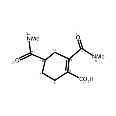 CNC(=O)C1=C(C(=O)O)CCC(C(=O)NC)C1